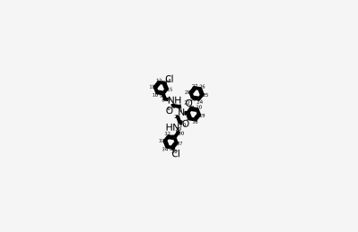 O=C(CN(CC(=O)NCc1cccc(Cl)c1)c1ccccc1Oc1ccccc1)NCc1cccc(Cl)c1